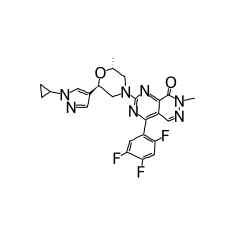 C[C@@H]1CN(c2nc(-c3cc(F)c(F)cc3F)c3cnn(C)c(=O)c3n2)C[C@@H](c2cnn(C3CC3)c2)O1